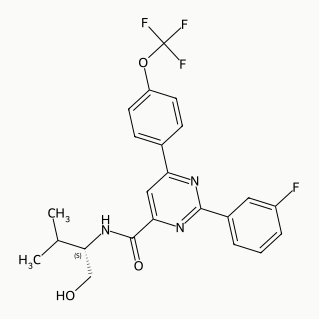 CC(C)[C@@H](CO)NC(=O)c1cc(-c2ccc(OC(F)(F)F)cc2)nc(-c2cccc(F)c2)n1